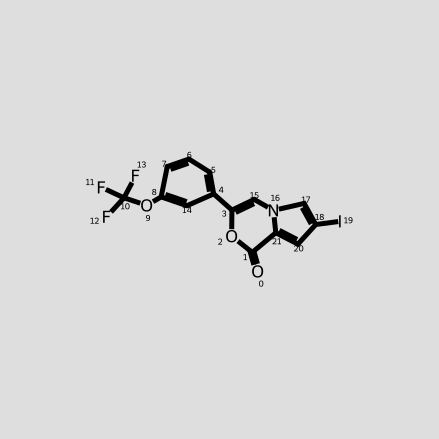 O=c1oc(-c2cccc(OC(F)(F)F)c2)cn2cc(I)cc12